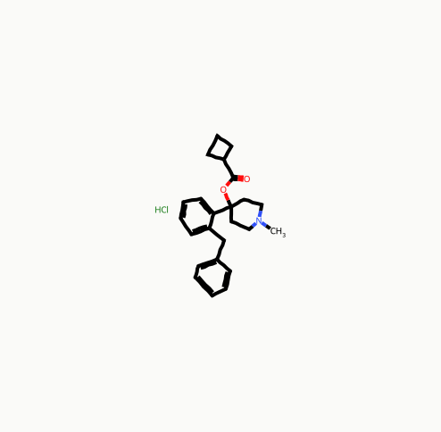 CN1CCC(OC(=O)C2CCC2)(c2ccccc2Cc2ccccc2)CC1.Cl